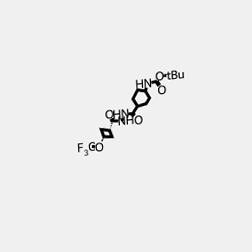 CC(C)(C)OC(=O)NC1CCC(C(=O)NNC(=O)[C@H]2C[C@@H](OC(F)(F)F)C2)CC1